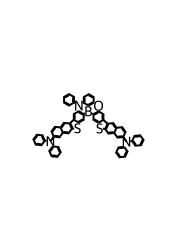 c1ccc(N(c2ccccc2)c2ccc3cc4c(cc3c2)sc2cc3c(cc24)Oc2cccc4c2B3c2cc3sc5cc6cc(N(c7ccccc7)c7ccccc7)ccc6cc5c3cc2N4c2ccccc2)cc1